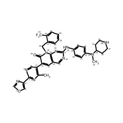 Cc1nc(-c2cocn2)ncc1-c1cc2cnc(Nc3ccc(N(C)C4CCNCC4)cc3)nc2n(Cc2ccccc2C(F)(F)F)c1=O